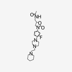 CC(=O)NCC1CN(c2ccc(N3CCN(CCN4CCCCC4)CC3)c(F)c2)C(=O)O1